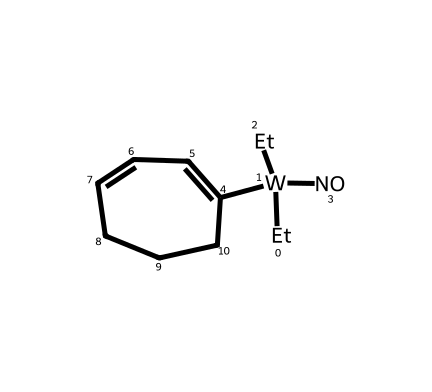 C[CH2][W]([CH2]C)([N]=O)[C]1=CC=CCCC1